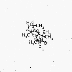 CC1(C)CCC(C)(C)N1OC1CC(C)(C)N([O])C1(C)C